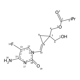 CC(C)C(=O)OCC1(CO)CC1=Cn1cc(F)c(N)nc1=O